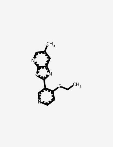 CCSc1ccncc1-c1nc2cc(C)cnc2s1